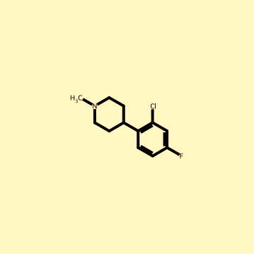 CN1CCC(c2ccc(F)cc2Cl)CC1